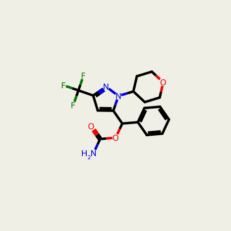 NC(=O)OC(c1ccccc1)c1cc(C(F)(F)F)nn1C1CCOCC1